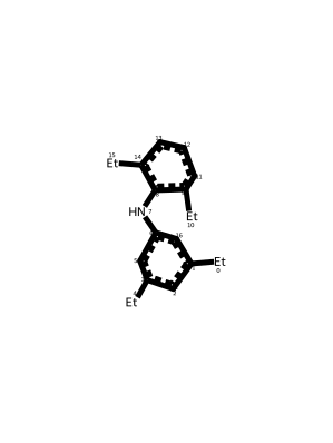 CCc1[c]c(CC)cc(Nc2c(CC)cccc2CC)c1